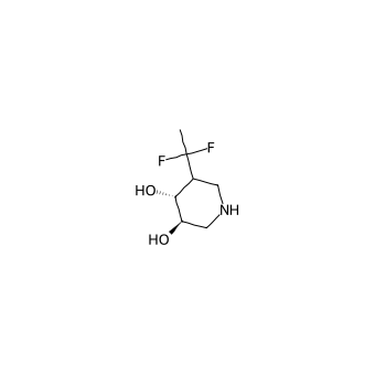 CC(F)(F)C1CNC[C@@H](O)[C@@H]1O